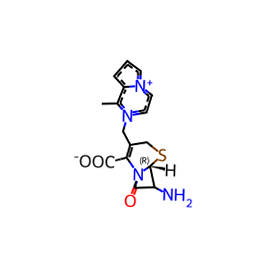 Cc1c2ccc[n+]-2ccn1CC1=C(C(=O)[O-])N2C(=O)C(N)[C@H]2SC1